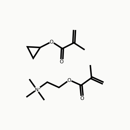 C=C(C)C(=O)OC1CC1.C=C(C)C(=O)OCC[N+](C)(C)C